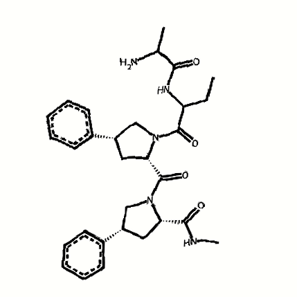 CCC(NC(=O)C(C)N)C(=O)N1C[C@@H](c2ccccc2)C[C@H]1C(=O)N1C[C@@H](c2ccccc2)C[C@H]1C(=O)NC